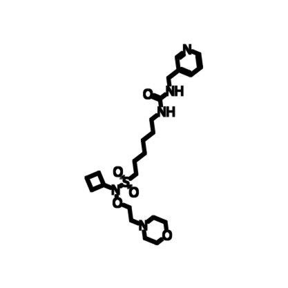 O=C(NCCCCCCS(=O)(=O)N(OCCN1CCOCC1)C1CCC1)NCc1cccnc1